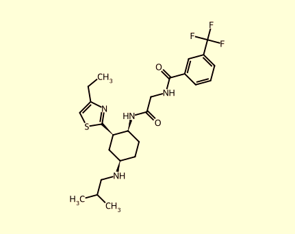 CCc1csc([C@@H]2C[C@H](NCC(C)C)CC[C@@H]2NC(=O)CNC(=O)c2cccc(C(F)(F)F)c2)n1